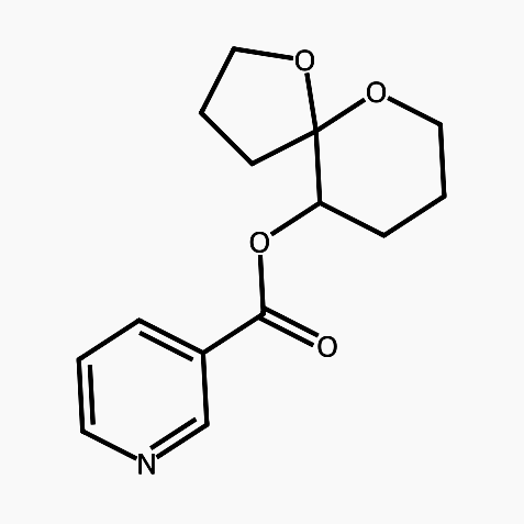 O=C(OC1CCCOC12CCCO2)c1cccnc1